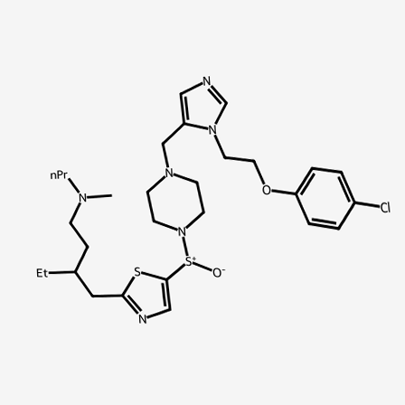 CCCN(C)CCC(CC)Cc1ncc([S+]([O-])N2CCN(Cc3cncn3CCOc3ccc(Cl)cc3)CC2)s1